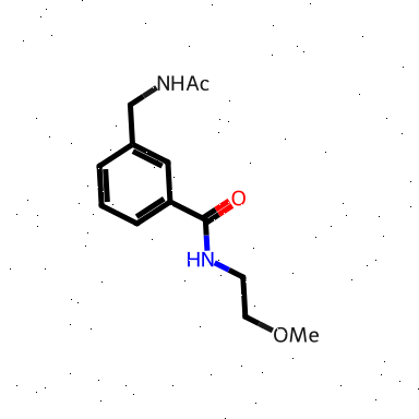 COCCNC(=O)c1cccc(CNC(C)=O)c1